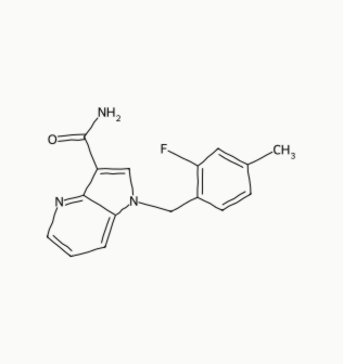 Cc1ccc(Cn2cc(C(N)=O)c3ncccc32)c(F)c1